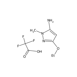 CCOc1cc(N)n(C)n1.O=C(O)C(F)(F)F